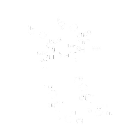 Cc1ncsc1-c1ccc(CNC(=O)[C@@H]2C[C@@H](O)CN2C(=O)[C@@H](NC(=O)COCCCC[C@@H](C)Oc2ccc(C(=O)N[C@H]3C(C)(C)[C@H](Oc4ccc(C#N)c(Cl)c4)C3(C)C)cc2)C(C)(C)C)cc1.Cc1ncsc1-c1ccc(CNC(=O)[C@@H]2C[C@@H](O)CN2C(=O)[C@@H](NC(=O)COCCCC[C@H](C)Oc2ccc(C(=O)N[C@H]3C(C)(C)[C@H](Oc4ccc(C#N)c(Cl)c4)C3(C)C)cc2)C(C)(C)C)cc1